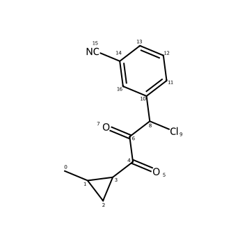 CC1CC1C(=O)C(=O)C(Cl)c1cccc(C#N)c1